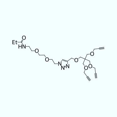 C#CCOCC(COCC#C)(COCC#C)COCc1cn(CCOCCOCCNC(=O)CC)nn1